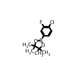 CC1(C)OB(c2ccc(Cl)c(F)c2)OC1(C)C